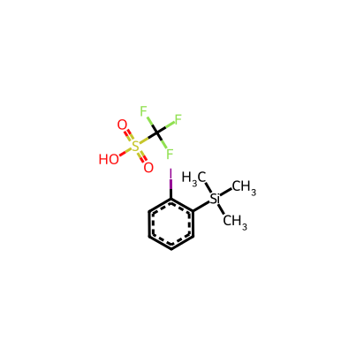 C[Si](C)(C)c1ccccc1I.O=S(=O)(O)C(F)(F)F